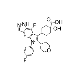 O=C(O)C1(O)CCC(c2c(C3CCOCC3)n(-c3ccc(F)cc3)c3cc4cn[nH]c4c(F)c23)CC1